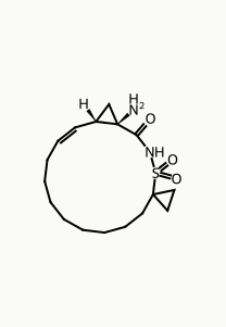 N[C@]12C[C@H]1/C=C\CCCCCCCCC1(CC1)S(=O)(=O)NC2=O